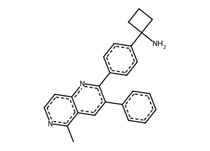 Cc1nccc2nc(-c3ccc(C4(N)CCC4)cc3)c(-c3ccccc3)cc12